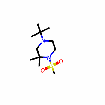 CC(C)(C)N1CCN(S(C)(=O)=O)C(C)(C)C1